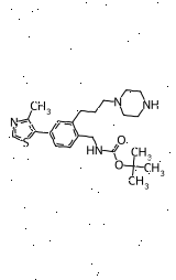 Cc1ncsc1-c1ccc(CNC(=O)OC(C)(C)C)c(CCCN2CCNCC2)c1